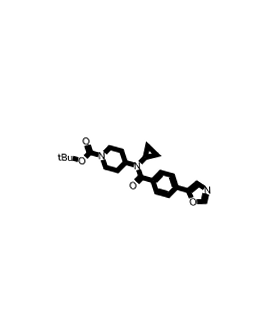 CC(C)(C)OC(=O)N1CCC(N(C(=O)c2ccc(-c3cnco3)cc2)C2CC2)CC1